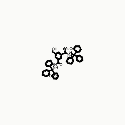 COc1ccccc1C(NNC(=O)c1cc(CO)cc(C(=O)NNC(c2ccccc2)(c2ccccc2)c2ccccc2OC)c1)(c1ccccc1)c1ccccc1